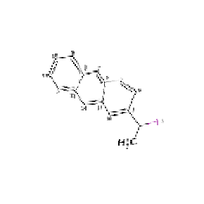 CC(I)c1ccc2cc3ccccc3cc2c1